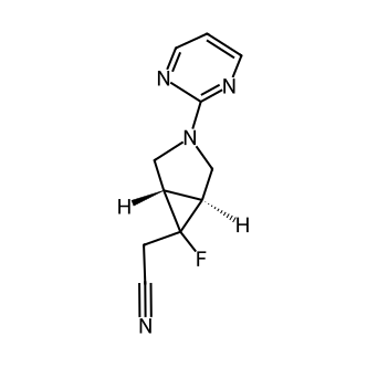 N#CCC1(F)[C@@H]2CN(c3ncccn3)C[C@H]21